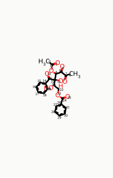 CC(=O)OC(C(=O)C(C)=O)C(O)(C(=O)c1ccccc1)C(O)COC(=O)c1ccccc1